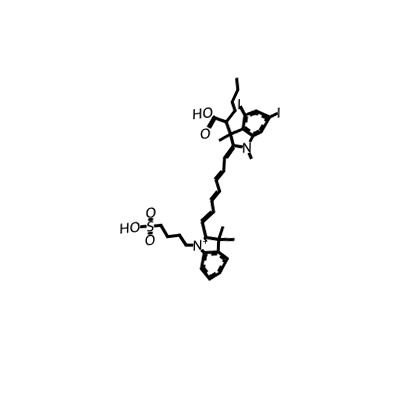 CCCCC(C(=O)O)C1(C)/C(=C/C=C/C=C/C=C/C2=[N+](CCCCS(=O)(=O)O)c3ccccc3C2(C)C)N(C)c2cc(I)cc(I)c21